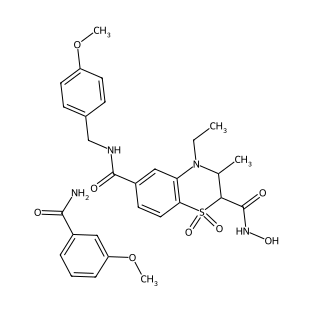 CCN1c2cc(C(=O)NCc3ccc(OC)cc3)ccc2S(=O)(=O)C(C(=O)NO)C1C.COc1cccc(C(N)=O)c1